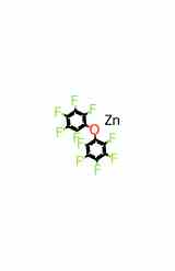 Fc1c(F)c(F)c(Oc2c(F)c(F)c(F)c(F)c2F)c(F)c1F.[Zn]